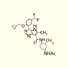 CC(=O)NC1CCC(NC(=O)c2c(C)[nH]c3c(-c4cc(C(F)F)ccc4OCC4CC4)ncnc23)C(C)C1